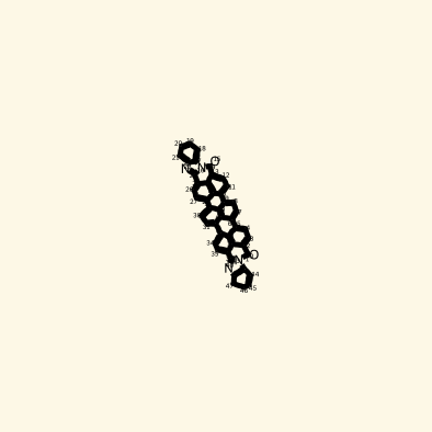 O=c1c2ccc3c4ccc5c6ccc7c(=O)n8c9ccccc9nc8c8ccc(c9ccc(c%10ccc(c2c3%10)c2nc3c(n12)C=CCC3)c4c59)c6c78